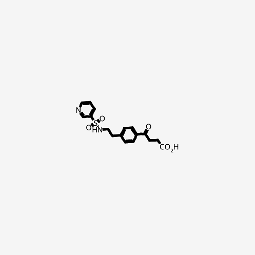 O=C(O)CCC(=O)c1ccc(CCNS(=O)(=O)c2cccnc2)cc1